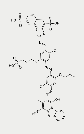 CCCOc1cc(N=Nc2c(C)c(C#N)c3nc4ccccc4n3c2O)c(Cl)cc1N=Nc1cc(Cl)c(N=Nc2nc3c(S(=O)(=O)O)cc4ccc(S(=O)(=O)O)cc4c3s2)cc1SCCCS(=O)(=O)O